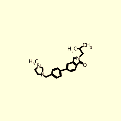 CC(C)CN1Cc2cc(-c3ccc(CN4CCN(C)C4)cc3)ccc2C1=O